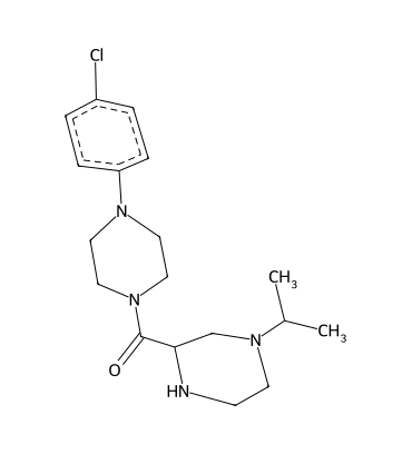 CC(C)N1CCNC(C(=O)N2CCN(c3ccc(Cl)cc3)CC2)C1